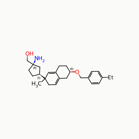 CCc1ccc(CO[C@@H]2CCC3=CC(C)([C@H]4CC[C@](N)(CO)C4)CC=C3C2)cc1